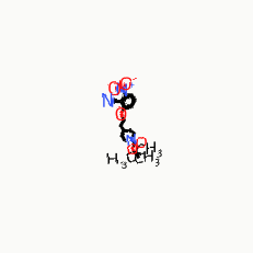 CC(C)(C)OC(=O)N1CCC(CCOc2cccc([N+](=O)[O-])c2C#N)CC1